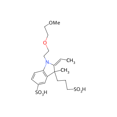 C/C=C1/N(CCOCCOC)c2ccc(S(=O)(=O)O)cc2C1(C)CCCS(=O)(=O)O